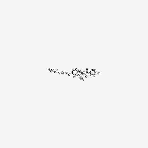 COCCOCCOc1ccc2oc(C(=O)Nc3ccc(Cl)cn3)c(N)c2c1